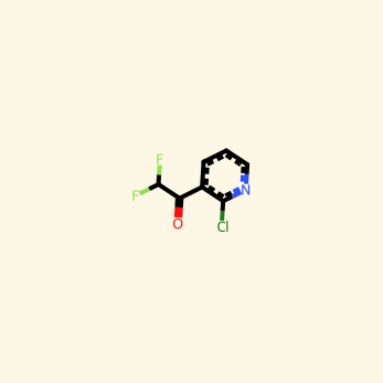 O=C(c1cccnc1Cl)C(F)F